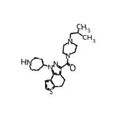 CC(C)CN1CCN(C(=O)c2nn(C3CCNCC3)c3c2CCc2sccc2-3)CC1